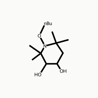 CCCCON1C(C)(C)CC(O)C(O)C1(C)C